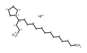 CCCCCCCCCCCCCC(CCC)N1CCCC1.I